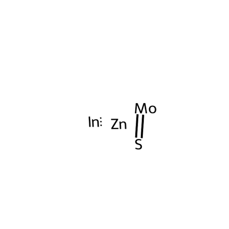 [In].[S]=[Mo].[Zn]